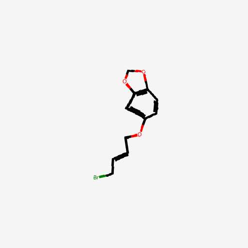 BrCC=CCOc1ccc2c(c1)OCO2